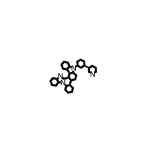 c1cncc(-c2cccc(-n3c4ccccc4c4c5c(ccc43)c3ccccc3n3c4ccccc4nc53)c2)c1